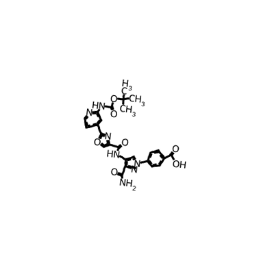 CC(C)(C)OC(=O)Nc1cc(-c2nc(C(=O)Nc3cn(-c4ccc(C(=O)O)cc4)nc3C(N)=O)co2)ccn1